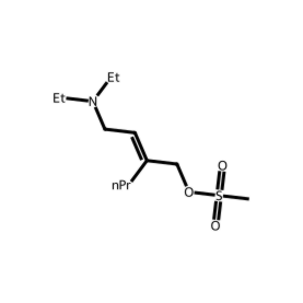 CCC/C(=C\CN(CC)CC)COS(C)(=O)=O